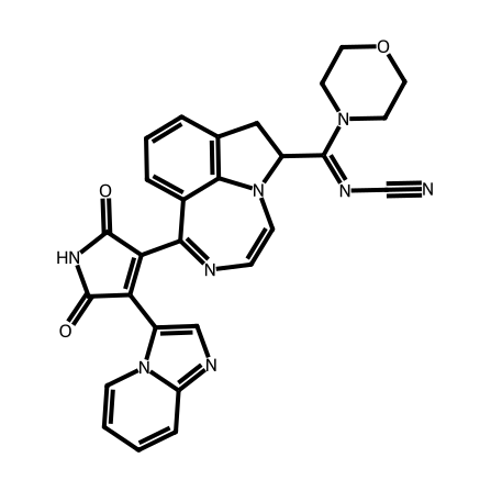 N#CN=C(C1Cc2cccc3c2N1C=CN=C3C1=C(c2cnc3ccccn23)C(=O)NC1=O)N1CCOCC1